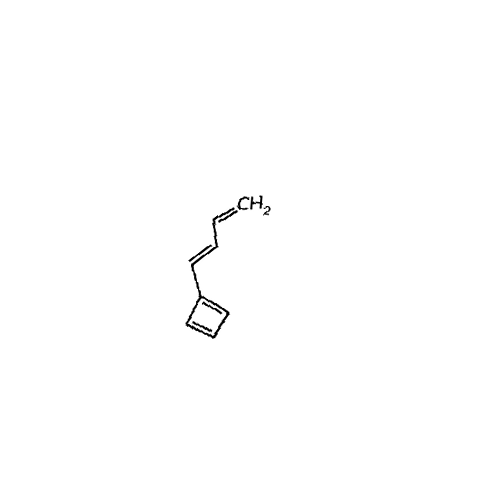 C=CC=CC1=CC=C1